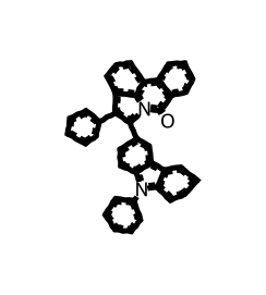 O=c1c2ccccc2c2cccc3c(-c4ccccc4)c(-c4ccc5c(c4)c4ccccc4n5-c4ccccc4)n1c32